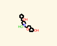 Cl.Oc1ccc2c(c1)CCC(CN1CCC(O)(Cc3ccccc3)CC1)O2